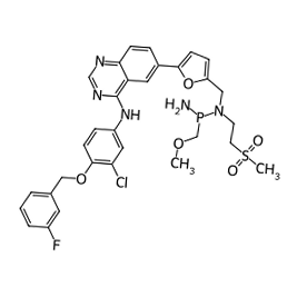 COCP(N)N(CCS(C)(=O)=O)Cc1ccc(-c2ccc3ncnc(Nc4ccc(OCc5cccc(F)c5)c(Cl)c4)c3c2)o1